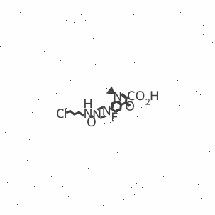 O=C(O)c1cn(C2CC2)c2cc(N3CCN(C(=O)NCCCCCl)CC3)c(F)cc2c1=O